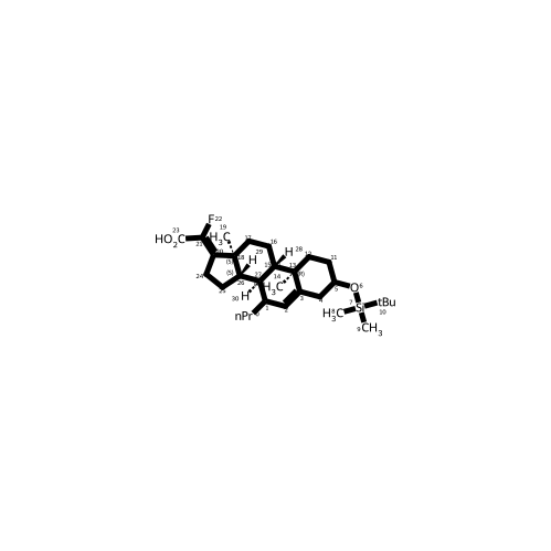 CCCC1C=C2CC(O[Si](C)(C)C(C)(C)C)CC[C@]2(C)[C@H]2CC[C@]3(C)C(=C(F)C(=O)O)CC[C@H]3[C@H]12